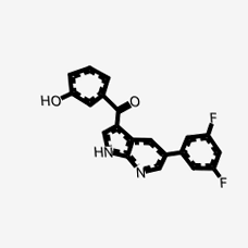 O=C(c1cccc(O)c1)c1c[nH]c2ncc(-c3cc(F)cc(F)c3)cc12